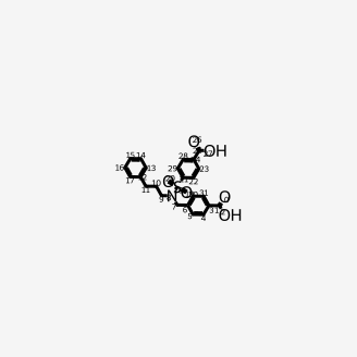 O=C(O)c1ccc(CN(CCCc2ccccc2)S(=O)(=O)c2ccc(C(=O)O)cc2)cc1